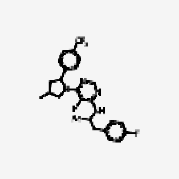 CC(=O)C(Cc1ccc(F)cc1)Nc1ncnc(N2CC(C)CC2c2ccc(C(F)(F)F)cc2)c1F